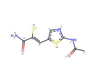 CC(=O)Nc1ncc(/C=C(\S)C(N)=O)s1